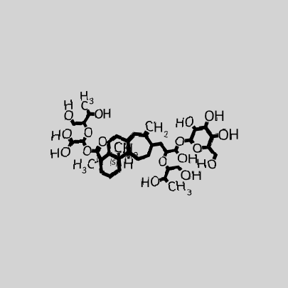 C=C1CC2CCC3[C@](C)(C(=O)OC(OC(CO)C(C)O)C(O)O)CCC[C@@]3(C)[C@@H]2CCC1CC(OC(CO)C(C)O)C(O)OC1OC(CO)C(O)C(O)C1O